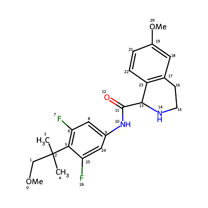 COCC(C)(C)c1c(F)cc(NC(=O)C2NCCc3cc(OC)ccc32)cc1F